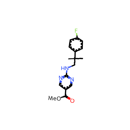 COC(=O)c1cnc(NCC(C)(C)c2ccc(F)cc2)nc1